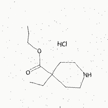 CCOC(=O)C1(CC)CCNCC1.Cl